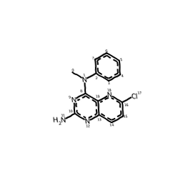 CN(c1ccccc1)c1nc(N)nc2ccc(Cl)nc12